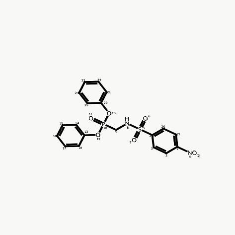 O=[N+]([O-])c1ccc(S(=O)(=O)NCP(=O)(Oc2ccccc2)Oc2ccccc2)cc1